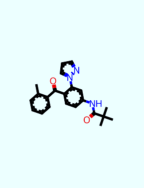 Cc1ccccc1C(=O)c1ccc(NC(=O)C(C)(C)C)cc1-n1cccn1